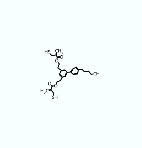 C=C(CS)C(=O)OCCc1cc(CCOC(=O)C(=C)CS)cc(-c2ccc(CCCCC)cc2)c1